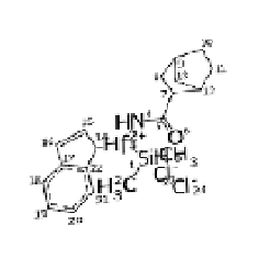 C[SiH](C)[Hf+2]([NH]C(=O)C1CC2CCC1C2)[CH]1C=Cc2ccccc21.[Cl-].[Cl-]